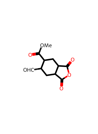 COC(=O)C1CC2C(=O)OC(=O)C2CC1C=O